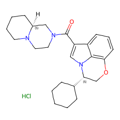 Cl.O=C(c1cn2c3c(cccc13)OC[C@@H]2C1CCCCC1)N1CCN2CCCC[C@H]2C1